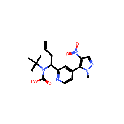 C=CCC(c1cc(-c2c([N+](=O)[O-])cnn2C)ccn1)N(C(=O)O)C(C)(C)C